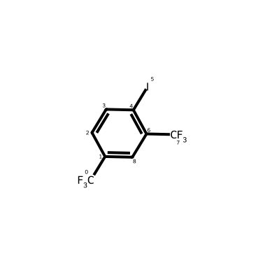 FC(F)(F)c1ccc(I)c(C(F)(F)F)c1